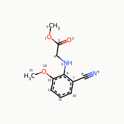 COC(=O)CNc1c(C#N)cccc1OC